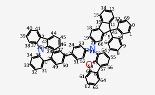 c1ccc(C2(c3ccccc3)c3ccccc3-c3ccc(N(c4ccc(-c5ccc(-c6ccccc6-n6c7ccccc7c7ccccc76)cc5)cc4)c4cccc5c4oc4ccccc45)cc32)cc1